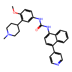 COc1ccc(NC(=O)Nc2ccc(-c3ccncc3)c3ccccc23)cc1C1CCN(C)CC1